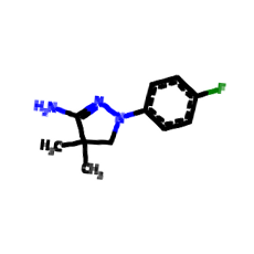 CC1(C)CN(c2ccc(F)cc2)N=C1N